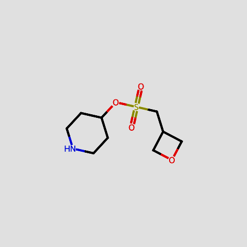 O=S(=O)(CC1COC1)OC1CCNCC1